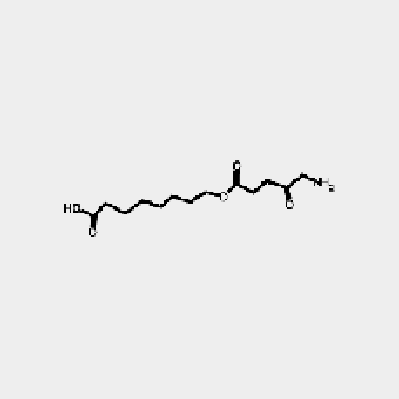 NCC(=O)CCC(=O)OCCCCCCCC(=O)O